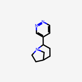 c1cc(C2CCC3CCN2C3)cnn1